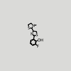 CN1CCSC1C1CSC(c2cccc(F)c2O)=N1